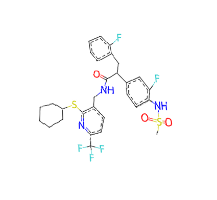 CS(=O)(=O)Nc1ccc(C(Cc2ccccc2F)C(=O)NCc2ccc(C(F)(F)F)nc2SC2CCCCC2)cc1F